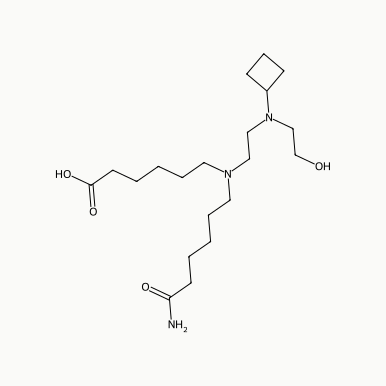 NC(=O)CCCCCN(CCCCCC(=O)O)CCN(CCO)C1CCC1